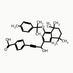 Cc1ccc(C(C)(C)Oc2cc(C(O)C#Cc3ccc(C(=O)O)cc3)cc3c2C(C)(C)CCC3(C)C)cc1